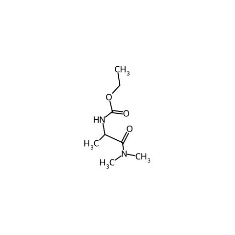 CCOC(=O)NC(C)C(=O)N(C)C